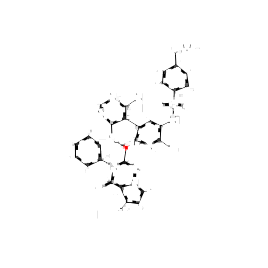 CCc1ncc(-c2c(N)ncnc2N[C@@H](C)c2nn3ccc(C)c3c(=O)n2-c2ccccc2)cc1NS(=O)(=O)c1ccc(OC)cc1